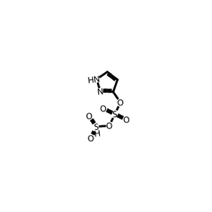 O=[SH](=O)OS(=O)(=O)Oc1cc[nH]n1